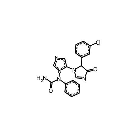 NC(=O)N(c1ccccc1)n1cncc1N1C=NC(=O)C1c1cccc(Cl)c1